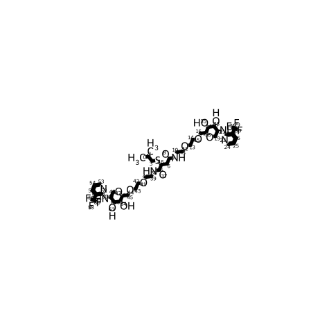 CC(C)CSC(CC(=O)NCCOCCOCC1OC[C@@H](Nc2ncccc2C(F)(F)F)C(O)C1O)C(=O)NCCOCCOCC1OC[C@@H](Nc2ncccc2C(F)(F)F)C(O)C1O